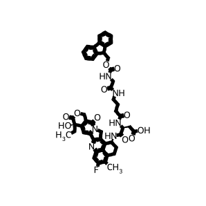 CC[C@@]1(O)C(=O)OCc2c1cc1n(c2=O)Cc2c-1nc1cc(F)c(C)c3c1c2[C@@H](NC(=O)[C@H](CC(=O)O)NC(=O)CCCNC(=O)CNC(=O)OCC1c2ccccc2-c2ccccc21)CC3